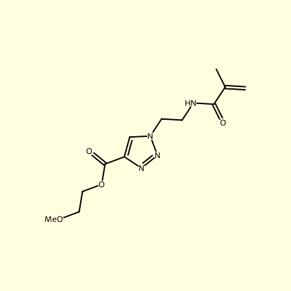 C=C(C)C(=O)NCCn1cc(C(=O)OCCOC)nn1